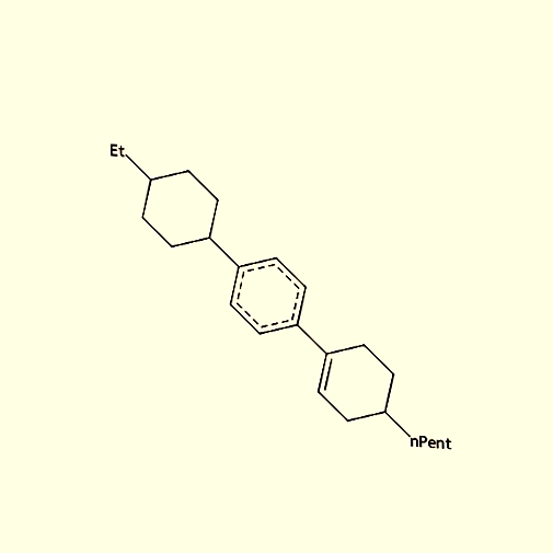 CCCCCC1CC=C(c2ccc(C3CCC(CC)CC3)cc2)CC1